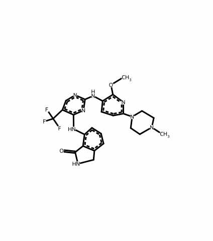 COc1nc(N2CCN(C)CC2)ccc1Nc1ncc(C(F)(F)F)c(Nc2cccc3c2C(=O)NC3)n1